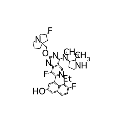 CCc1c(F)ccc2cc(O)cc(-c3ncc4c(N(C)[C@@H]5CCN[C@@H]5C)nc(OC[C@@]56CCCN5C[C@H](F)C6)nc4c3F)c12